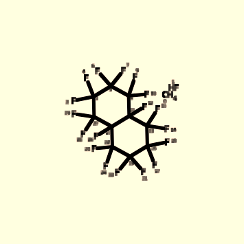 C.F.FC1(F)C(F)(F)C(F)(F)C2(F)C(F)(F)C(F)(F)C(F)(F)C(F)(F)C2(F)C1(F)F